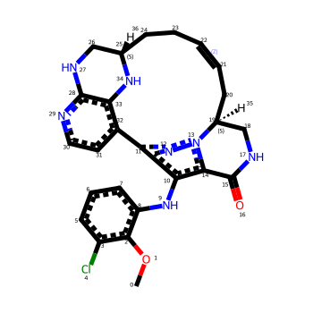 COc1c(Cl)cccc1Nc1c2nn3c1C(=O)NC[C@@H]3C/C=C\CC[C@H]1CNc3nccc-2c3N1